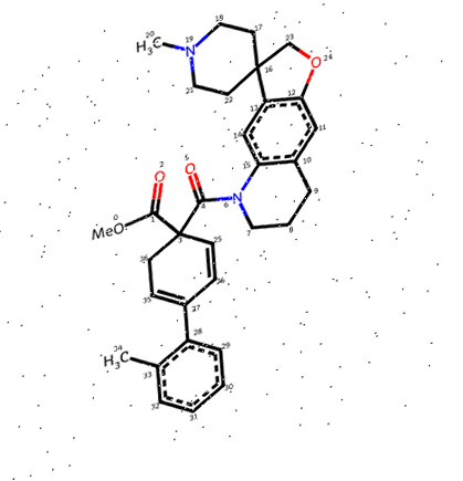 COC(=O)C1(C(=O)N2CCCc3cc4c(cc32)C2(CCN(C)CC2)CO4)C=CC(c2ccccc2C)=CC1